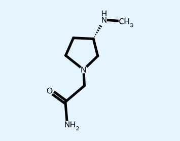 CN[C@H]1CCN(CC(N)=O)C1